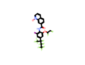 O=C(Nc1c(I)cc(C(F)(C(F)(F)F)C(F)(F)C(F)(F)F)cc1OC(F)CF)c1ccc2ccc[n+]([O-])c2c1